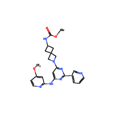 CC(C)(C)OC(=O)NC1CC2(C1)CN(c1cc(Nc3cc(OC(F)(F)F)ccn3)nc(-c3cccnc3)n1)C2